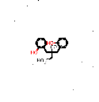 O=C(O)CC(Cc1ccccc1O)(Cc1ccccc1O)C(=O)O